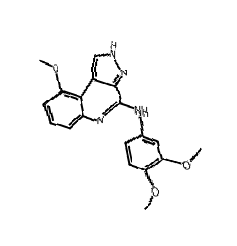 COc1ccc(Nc2nc3cccc(OC)c3c3c[nH]nc23)cc1OC